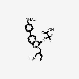 CC(=O)Nc1ccc(-c2ccc3nn(C/C(=C/F)CN)c(=O)n3c2)cc1.O=C(O)C(F)(F)F